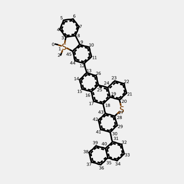 CS1(C)c2ccccc2-c2ccc(-c3ccc4cc5c6c(cccc6c4c3)Sc3cc(-c4cccc6ccccc46)ccc3-5)cc21